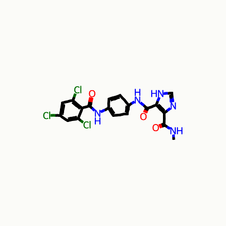 CNC(=O)c1nc[nH]c1C(=O)Nc1ccc(NC(=O)c2c(Cl)cc(Cl)cc2Cl)cc1